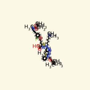 Cc1cc(N(CCCCCCN(C)C)c2nc(C(=O)O)c(CCCOc3ccc(C#CCN(C)C(=O)OC(C)(C)C)cc3F)s2)nnc1/N=c1\sc2ccccc2n1COCC[Si](C)(C)C